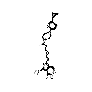 O=C(CCOCCn1nc(C(F)(F)F)c2c(=O)[nH]ncc21)N1CCN(c2ccc(C3CC3)cn2)CC1